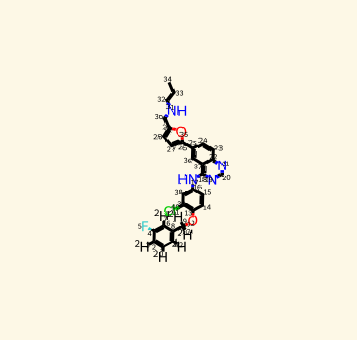 [2H]c1c([2H])c(F)c([2H])c(C([2H])([2H])Oc2ccc(Nc3ncnc4ccc(-c5ccc(CNCCC)o5)cc34)cc2Cl)c1[2H]